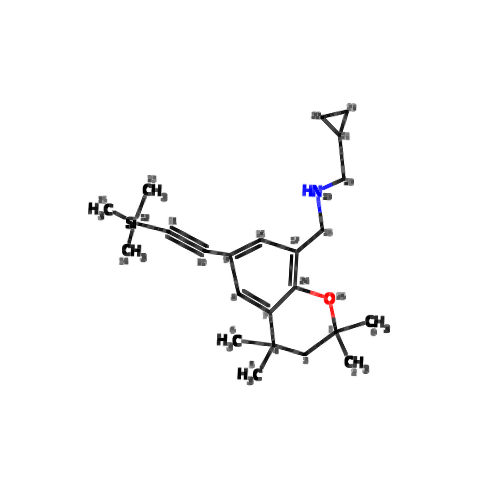 CC1(C)CC(C)(C)c2cc(C#C[Si](C)(C)C)cc(CNCC3CC3)c2O1